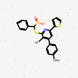 COc1ccc(-c2cc(-c3cccs3)nc(SC(c3ccccc3)[PH](=O)O)c2C#N)cc1